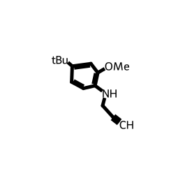 C#CCNc1ccc(C(C)(C)C)cc1OC